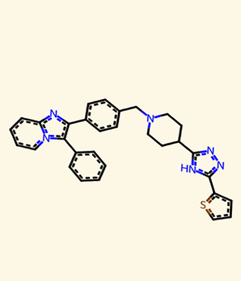 c1ccc(-c2c(-c3ccc(CN4CCC(c5nnc(-c6cccs6)[nH]5)CC4)cc3)nc3ccccn23)cc1